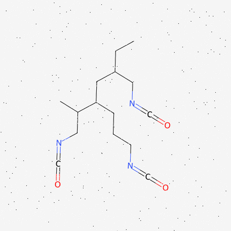 CCC(CN=C=O)CC(CCCN=C=O)C(C)CN=C=O